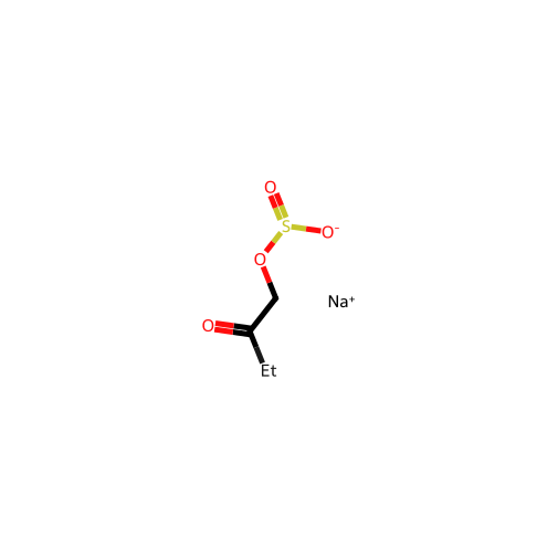 CCC(=O)COS(=O)[O-].[Na+]